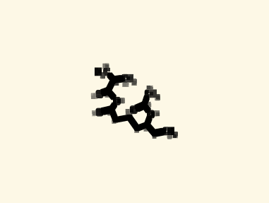 C=CC(CCCC(=O)OC(=O)C(=C)C)OC(C)=O